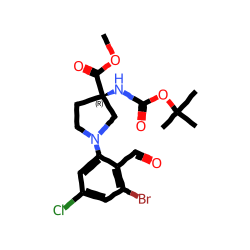 COC(=O)[C@@]1(NC(=O)OC(C)(C)C)CCN(c2cc(Cl)cc(Br)c2C=O)C1